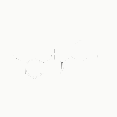 CCOC(CC(=O)O)C(=O)Nc1cccc(Cl)c1